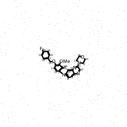 COc1cc(Nc2ccc3ncc(N4CCOCC4)nc3c2C#N)ccc1OCc1ccc(F)cc1